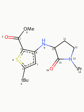 COC(=O)c1sc(C(C)(C)C)cc1NC1CCN(C(C)C)C1=O